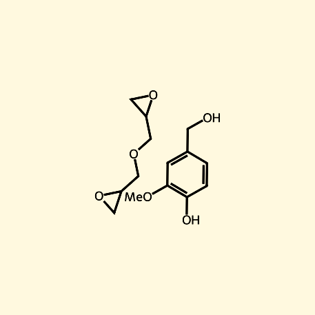 C(OCC1CO1)C1CO1.COc1cc(CO)ccc1O